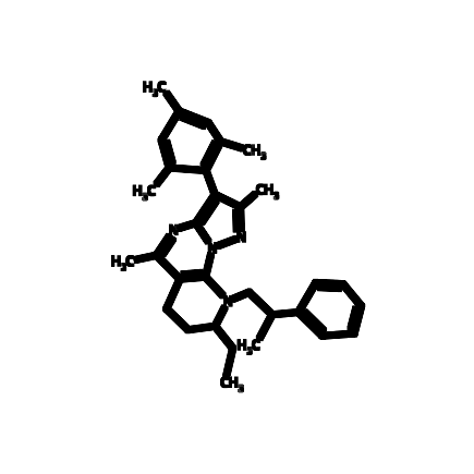 CCC1CCc2c(C)nc3c(-c4c(C)cc(C)cc4C)c(C)nn3c2N1CC(C)c1ccccc1